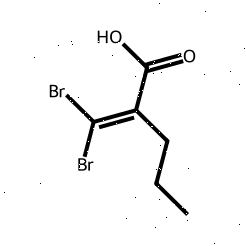 CCCC(C(=O)O)=C(Br)Br